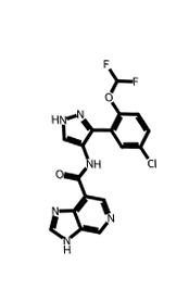 O=C(Nc1c[nH]nc1-c1cc(Cl)ccc1OC(F)F)c1cncc2[nH]cnc12